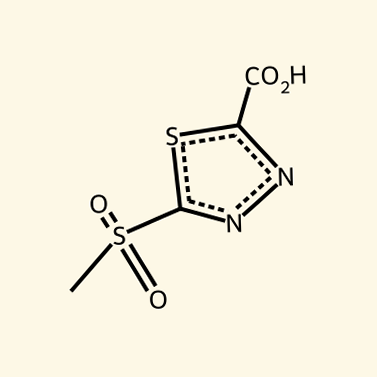 CS(=O)(=O)c1nnc(C(=O)O)s1